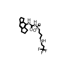 O=C(Nc1c2c(cc3c1CCC3)CCC2)NS(=O)(=O)CCCCNCCC(F)(F)F